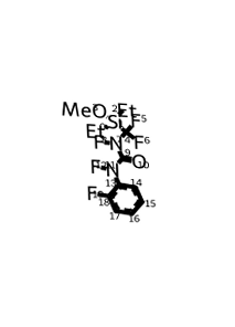 CC[Si](CC)(OC)C(F)(F)N(F)C(=O)N(F)c1ccccc1F